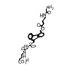 NCC(=O)NCCCC(=O)OCc1cccc2c1-c1ccccc1C2COC(=O)NCC(=O)NCCCC(=O)O